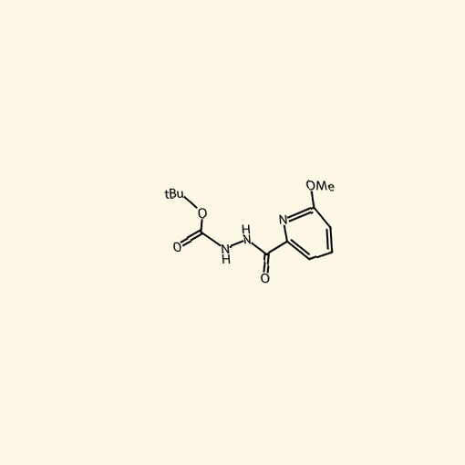 COc1cccc(C(=O)NNC(=O)OC(C)(C)C)n1